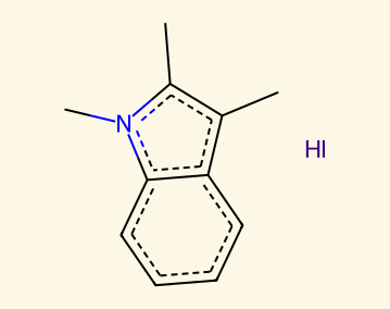 Cc1c(C)n(C)c2ccccc12.I